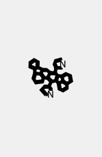 c1cncc(-c2c3cc4c5ccccc5c5cccc(c3c(-c3cccnc3)c3c6cccc7cccc(c23)c76)c54)c1